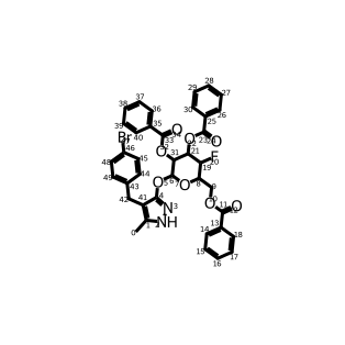 Cc1[nH]nc(OC2OC(COC(=O)c3ccccc3)C(F)C(OC(=O)c3ccccc3)C2OC(=O)c2ccccc2)c1Cc1ccc(Br)cc1